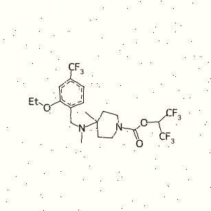 CCOc1cc(C(F)(F)F)ccc1CN(C)C1(C)CCN(C(=O)OC(C(F)(F)F)C(F)(F)F)CC1